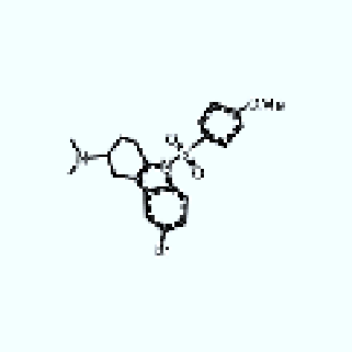 COc1ccc(S(=O)(=O)n2c3c(c4cc(Br)ccc42)CC(N(C)C)CC3)cc1